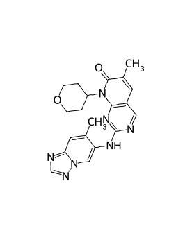 Cc1cc2ncnn2cc1Nc1ncc2cc(C)c(=O)n(C3CCOCC3)c2n1